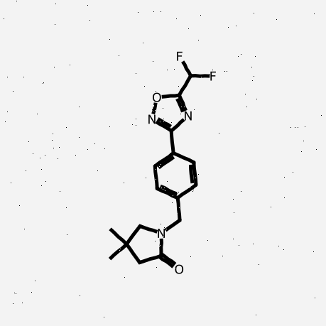 CC1(C)CC(=O)N(Cc2ccc(-c3noc(C(F)F)n3)cc2)C1